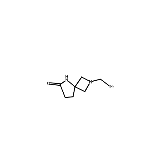 CC(C)CN1CC2(CCC(=O)N2)C1